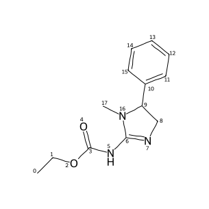 CCOC(=O)NC1=NCC(c2ccccc2)N1C